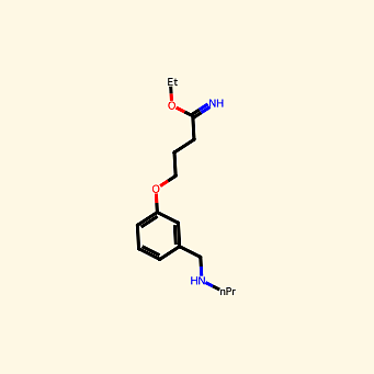 CCCNCc1cccc(OCCCC(=N)OCC)c1